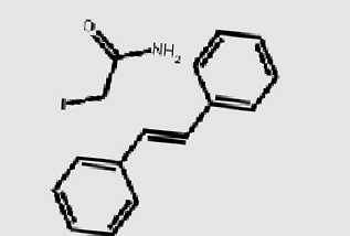 C(=Cc1ccccc1)c1ccccc1.NC(=O)CI